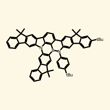 CC(C)(C)c1ccc(N2B3c4cc5c(cc4-n4c6cc7c(cc6c6ccc(c3c64)-c3cc4c(cc32)-c2ccc(C(C)(C)C)cc2C4(C)C)C(C)(C)c2ccccc2-7)-c2ccccc2C5(C)C)cc1